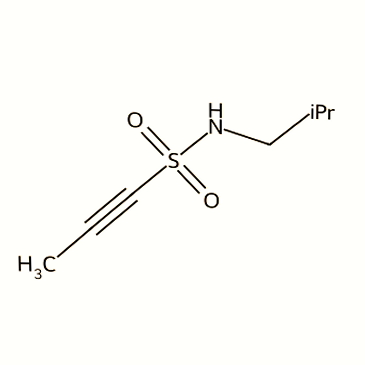 CC#CS(=O)(=O)NCC(C)C